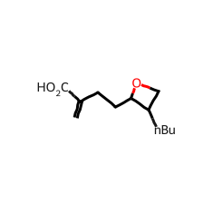 C=C(CCC1OCC1CCCC)C(=O)O